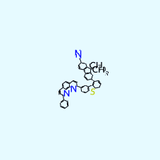 CC1(C)C2=C(C=CC(C3=C4c5cc(-c6ccc7ccc8ccc(-c9ccccc9)nc8c7n6)ccc5SC4CC=C3)C2)c2ccc(C#N)cc21